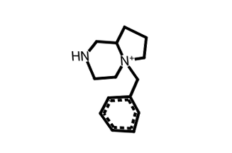 c1ccc(C[N+]23CCCC2CNCC3)cc1